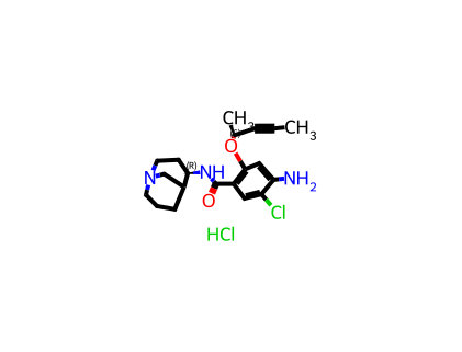 CC#C[C@H](C)Oc1cc(N)c(Cl)cc1C(=O)N[C@@H]1CCN2CCCC1C2.Cl